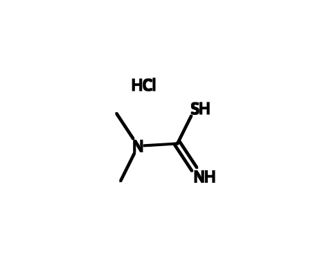 CN(C)C(=N)S.Cl